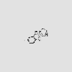 Cc1ccc2c(c1)O[C@]1(CN3CCC1CC3)O2